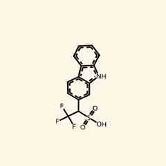 O=S(=O)(O)C(c1ccc2c(c1)[nH]c1ccccc12)C(F)(F)F